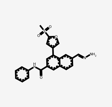 CS(=O)(=O)c1cc(-c2cc(C(=O)Nc3ccccc3)cc3ccc(C=NN)cc23)co1